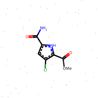 COC(=O)c1[nH]c(C(N)=O)cc1Cl